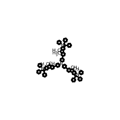 CC1(C)c2cc(-c3ccc(N(c4ccc(-c5ccc6c(c5)C(C)(C)c5cc7c(cc5-6)c(-c5ccccc5)c(-c5ccccc5)n7-c5ccccc5)cc4)c4ccc(-c5ccc6c(c5)C(C)(C)c5cc7c(cc5-6)c(-c5ccccc5)c(-c5ccccc5)n7-c5ccccc5)cc4)cc3)ccc2-c2cc3c(-c4ccccc4)c(-c4ccccc4)n(-c4ccccc4)c3cc21